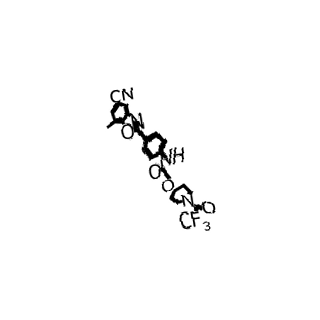 Cc1cc(C#N)cc2nc(-c3ccc(NC(=O)COC4CCN(C(=O)C(F)(F)F)CC4)cc3)oc12